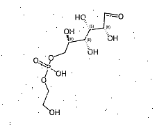 O=C[C@H](O)[C@@H](O)[C@H](O)[C@H](O)COP(=O)(O)OCCO